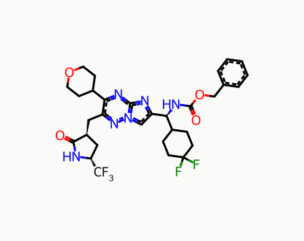 O=C(N[C@H](c1cn2nc(C[C@H]3C[C@@H](C(F)(F)F)NC3=O)c(C3CCOCC3)nc2n1)C1CCC(F)(F)CC1)OCc1ccccc1